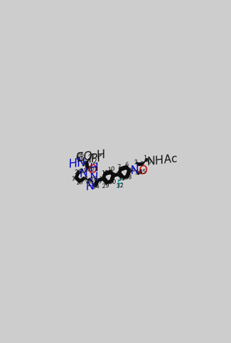 CC(=O)NC[C@@H]1CN(c2ccc(-c3ccc(-c4cnc([C@@H]5CCCN5C(=O)[C@@H](NC(=O)O)C(C)C)[nH]4)cc3)c(F)c2)CO1